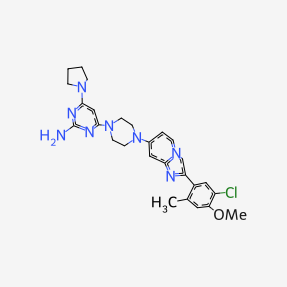 COc1cc(C)c(-c2cn3ccc(N4CCN(c5cc(N6CCCC6)nc(N)n5)CC4)cc3n2)cc1Cl